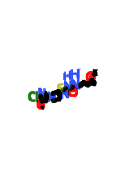 C=C(CCCNC(=O)Nc1nc2c(s1)CN(c1cnc(Cl)c(OC)c1)CC2)OCC